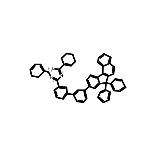 N/C(=N\C(=N/CC1=CC=CCC1)c1cccc(-c2cccc(-c3ccc4c(c3)C(c3ccccc3)(c3ccccc3)c3ccc5ccccc5c3-4)c2)c1)C1=CCCCC1